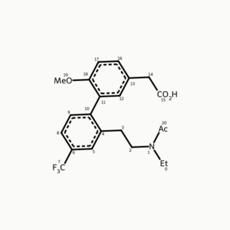 CCN(CCc1cc(C(F)(F)F)ccc1-c1cc(CC(=O)O)ccc1OC)C(C)=O